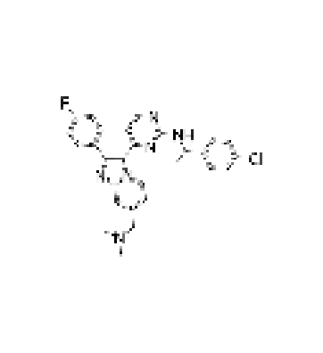 CC(Nc1nccc(-c2c(-c3ccc(F)cc3)nc3cc(CN(C)C)ccn23)n1)c1ccc(Cl)cc1